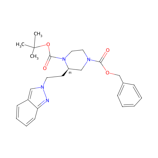 CC(C)(C)OC(=O)N1CCN(C(=O)OCc2ccccc2)C[C@H]1CCn1cc2ccccc2n1